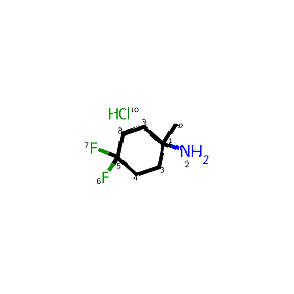 CC1(N)CCC(F)(F)CC1.Cl